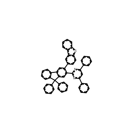 c1ccc(-c2cc(-c3ccccc3)nc(-c3cc4c(cc3-c3ccc5sc6ccccc6c5c3)-c3ccccc3C4(c3ccccc3)c3ccccc3)n2)cc1